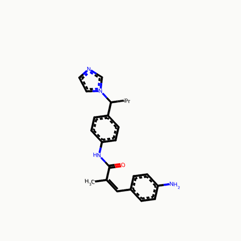 CC(=Cc1ccc(N)cc1)C(=O)Nc1ccc(C(C(C)C)n2ccnc2)cc1